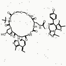 C=C(/C=C\C(=C/C)c1scnc1C)[C@@H]1NC(=O)[C@@H]2C[C@@H](O)CN2C(=O)[C@H](C(C)(C)C)NC(=O)CCCCCNC(=O)[C@@H](CNC(=O)C[C@@H]2N=C(c3ccc(Cl)cc3)c3c(sc(C)c3C)-n3c(C)nnc32)NC(=O)CNC1=O